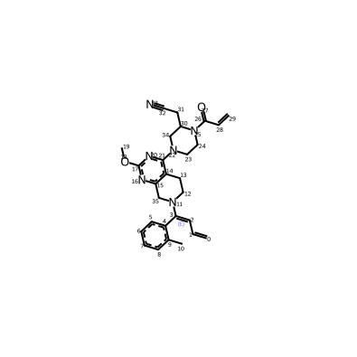 C=C/C=C(\c1ccccc1C)N1CCc2c(nc(OC)nc2N2CCN(C(=O)C=C)C(CC#N)C2)C1